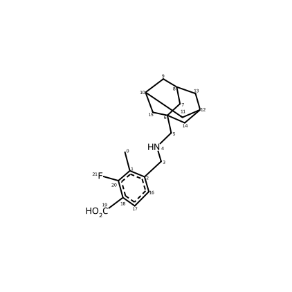 Cc1c(CNCC23CC4CC(CC(C4)C2)C3)ccc(C(=O)O)c1F